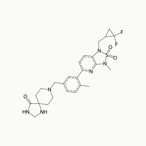 Cc1ccc(CN2CCC3(CC2)NCNC3=O)cc1-c1ccc2c(n1)N(C)S(=O)(=O)N2CC1CC1(F)F